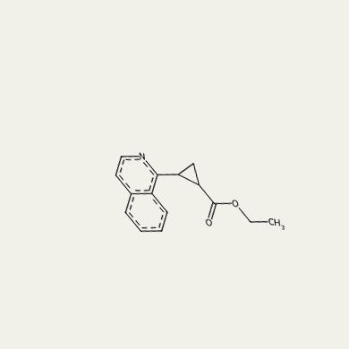 CCOC(=O)C1CC1c1nccc2ccccc12